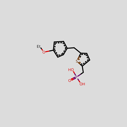 CCOc1ccc(Cc2ccc(CP(=O)(O)O)s2)cc1